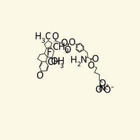 C[C@H]1CC2C3CCC4=CC(=O)C=C[C@]4(C)[C@@]3(F)[C@@H](O)C[C@]2(C)[C@H]1C(=O)COC(=O)Oc1ccc(C[C@H](N)C(=O)OCCCCO[N+](=O)[O-])cc1